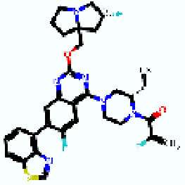 C=C(F)C(=O)N1CCN(c2nc(OCC34CCCN3C[C@H](F)C4)nc3cc(-c4cccc5scnc45)c(F)cc23)C[C@@H]1CC#N